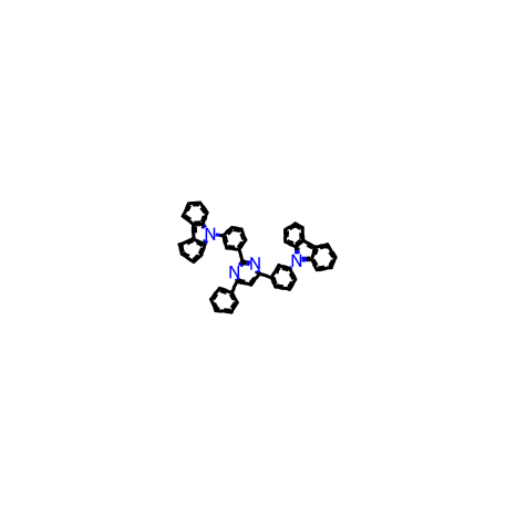 c1ccc(-c2cc(-c3cccc(-n4c5ccccc5c5ccccc54)c3)nc(-c3cccc(-n4c5ccccc5c5ccccc54)c3)n2)cc1